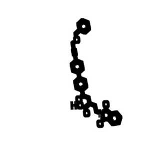 O=C(CC(CCN1C(=O)c2ccccc2C1=O)C(=O)O)c1ccc(-c2ccc(C#CCOCc3ccccc3)cc2)cc1